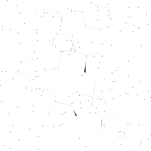 CCCCOC(=O)[C@H](C)NP(=O)(OC[C@H](CC)n1c(COCC)nc2c(N)nc3ccccc3c21)Oc1ccc(Cl)cc1